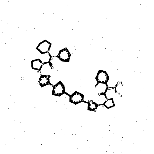 CN(C)[C@@H](C(=O)N1CCC[C@H]1c1ncc(-c2ccc(-c3ccc(-c4cnc([C@@H]5CCCN5C(=O)[C@@H](c5ccccc5)N5CCCCC5)[nH]4)cc3)cc2)[nH]1)c1ccccc1F